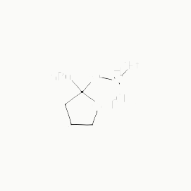 CCCCC1(ONCC)CCC[SiH]1C